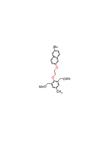 CCC(C)c1ccc2cc(OCCOc3c(COC)cc(C)cc3COC)ccc2c1